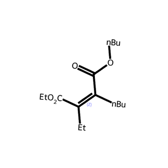 CCCCOC(=O)/C(CCCC)=C(/CC)C(=O)OCC